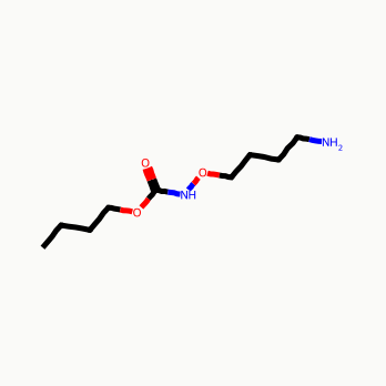 CCCCOC(=O)NOCCCCN